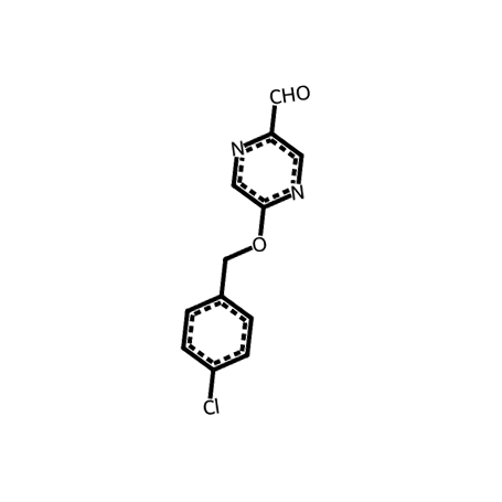 O=Cc1cnc(OCc2ccc(Cl)cc2)cn1